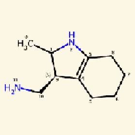 CC1NC2=C(CCCC2)[C@H]1CN